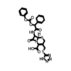 O=C(Oc1ccccc1)OC(C(=O)NC1C(=O)N2C(C(=O)O)=C(CSc3nnn[nH]3)CS[C@H]12)C1=CCC=CC1